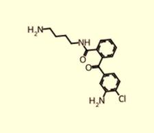 NCCCCNC(=O)c1ccccc1C(=O)c1ccc(Cl)c(N)c1